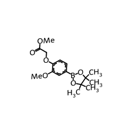 COC(=O)COc1ccc(B2OC(C)(C)C(C)(C)O2)cc1OC